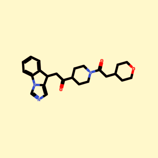 O=C(CC1c2ccccc2-n2cncc21)C1CCN(C(=O)CC2CCOCC2)CC1